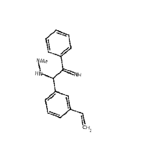 C=Cc1cccc(C(NNC)C(=N)c2ccccc2)c1